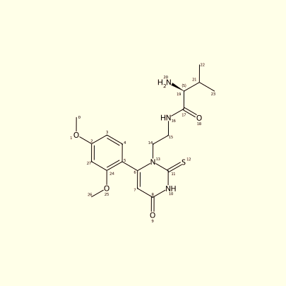 COc1ccc(-c2cc(=O)[nH]c(=S)n2CCNC(=O)[C@@H](N)C(C)C)c(OC)c1